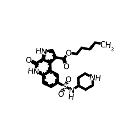 CCCCCOC(=O)c1c[nH]c2c(=O)[nH]c3ccc(S(=O)(=O)NC4CCNCC4)cc3c12